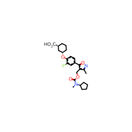 Cc1noc(-c2ccc(O[C@H]3CCC[C@H](C(=O)O)C3)c(F)c2)c1COC(=O)N(C)C1CCCC1